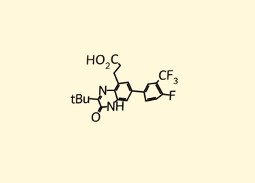 CC(C)(C)c1nc2c(CCC(=O)O)cc(-c3ccc(F)c(C(F)(F)F)c3)cc2[nH]c1=O